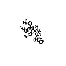 C[C@H](NC(=O)c1c(-c2ccnn2-c2ccc(C#N)cc2)n(C)n(-c2cccc(C(F)(F)F)c2)c1=O)c1ncc(C[N+](C)(C)Cc2ccccc2)o1.[Br-]